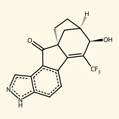 O=C1c2c(ccc3[nH]ncc23)C2=C(C(F)(F)F)[C@H](O)[C@@H]3CC[C@@]12C3